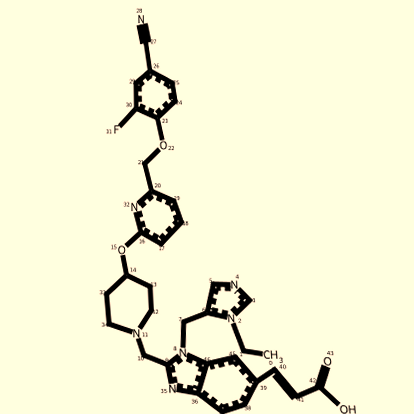 CCn1cncc1Cn1c(CN2CCC(Oc3cccc(COc4ccc(C#N)cc4F)n3)CC2)nc2ccc(/C=C/C(=O)O)cc21